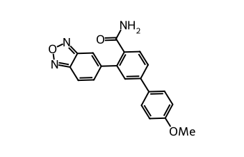 COc1ccc(-c2ccc(C(N)=O)c(-c3ccc4nonc4c3)c2)cc1